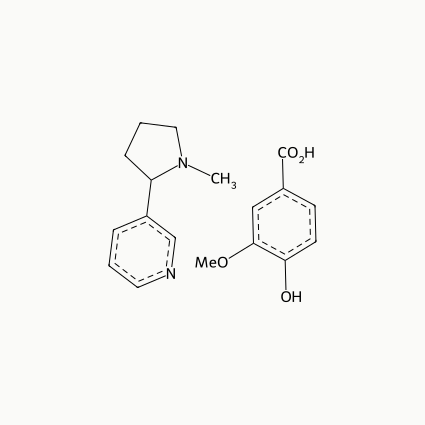 CN1CCCC1c1cccnc1.COc1cc(C(=O)O)ccc1O